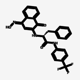 O=C1C(N[C@H](Cc2ccccc2)C(=O)Nc2ccc(C(F)(F)F)cc2)=CC(=NO)c2ccccc21